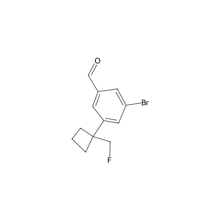 O=Cc1cc(Br)cc(C2(CF)CCC2)c1